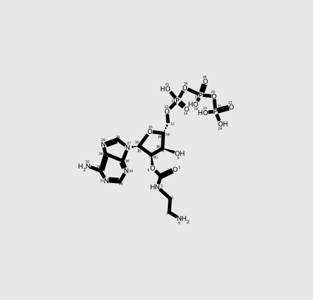 NCCNC(=O)O[C@@H]1[C@H](O)[C@@H](COP(=O)(O)OP(=O)(O)OP(=O)(O)O)O[C@H]1n1cnc2c(N)ncnc21